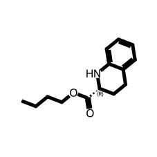 CCCCOC(=O)[C@H]1CCc2ccccc2N1